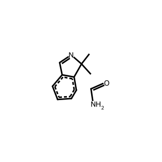 CC1(C)N=Cc2ccccc21.NC=O